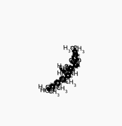 C=CC(=O)Nc1cc(Nc2nc(-c3ccnc(N4CCn5c(cc6c5CC(C)(C)C6)C4=O)c3CO)cn(C)c2=O)ccc1N1CCN(C2CCN(c3ccc(C(C)(C)O)nc3)[C@H](C)C2)C[C@@H]1C